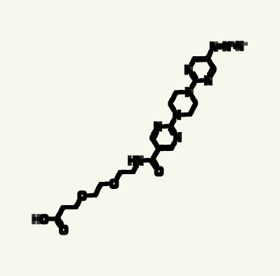 [N-]=[N+]=Nc1cnc(N2CCN(c3ncc(C(=O)NCCOCCOCCC(=O)O)cn3)CC2)nc1